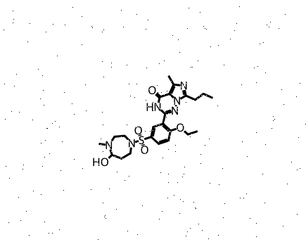 CCCc1nc(C)c2c(=O)[nH]c(-c3cc(S(=O)(=O)N4CCC(O)N(C)CC4)ccc3OCC)nn12